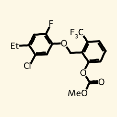 CCc1cc(F)c(OCc2c(OC(=O)OC)cccc2C(F)(F)F)cc1Cl